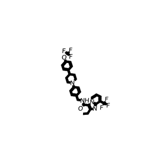 CCc1nc2c(C(F)(F)F)cccn2c1C(=O)NCc1ccc(N2CCC(c3ccc(OC(F)(F)F)cc3)CC2)cc1